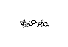 CO[C@]12CCN[C@@H]1CN(c1ccc3c(n1)CC[C@H](NC(=O)c1sc4nc(C)ccc4c1N)C3)C2